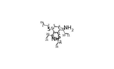 C=CCSc1ccc(C(N)C=C)c(SCC=C)c1C(N)C=C